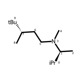 CC(C)[C@H](C)N(C)CC[C@H](C)C(C)(C)C